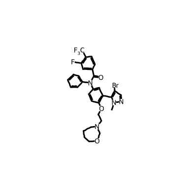 Cn1ncc(Br)c1-c1cc(N(C(=O)c2ccc(C(F)(F)F)c(F)c2)c2ccccc2)ccc1OCCN1CCCCOC1